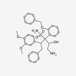 COc1ccc(C(Cc2ccccc2)C(c2ccccc2OCc2ccccc2)(C(O)CN)S(N)(=O)=O)cc1OC